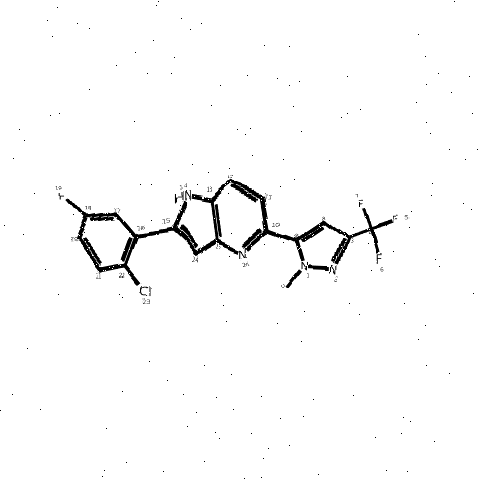 Cn1nc(C(F)(F)F)cc1-c1ccc2[nH]c(-c3cc(F)ccc3Cl)cc2n1